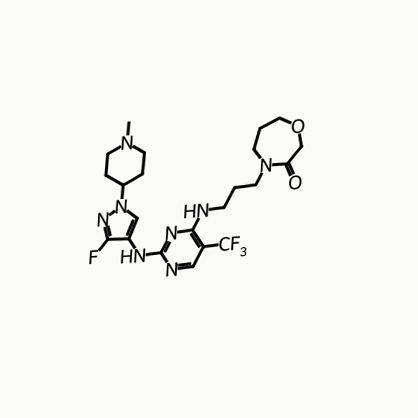 CN1CCC(n2cc(Nc3ncc(C(F)(F)F)c(NCCCN4CCCOCC4=O)n3)c(F)n2)CC1